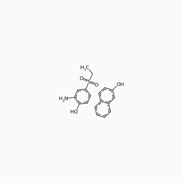 CCS(=O)(=O)c1ccc(O)c(N)c1.Oc1ccc2ccccc2c1